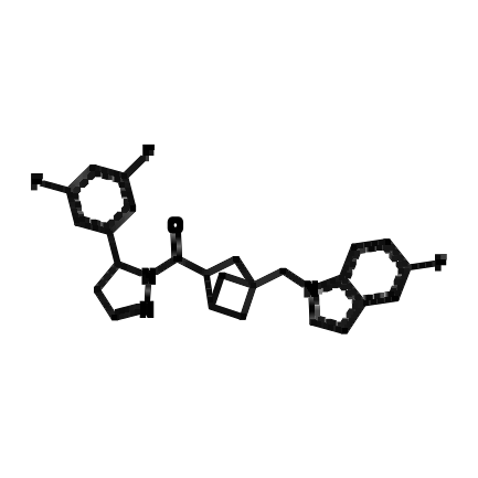 O=C(C1CC2(Cn3ccc4cc(F)ccc43)CC1C2)N1N=CCC1c1cc(F)cc(F)c1